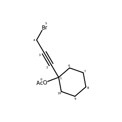 CC(=O)OC1(C#CCBr)CCCCC1